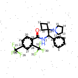 O=C(NC(c1ccccc1)C1(N2CCCC2)CCC1)c1ccc(C(F)(F)F)cc1C(F)(F)F